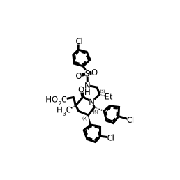 CC[C@@H](CNS(=O)(=O)c1ccc(Cl)cc1)N1C(=O)[C@](C)(CC(=O)O)C[C@H](c2cccc(Cl)c2)[C@H]1c1ccc(Cl)cc1